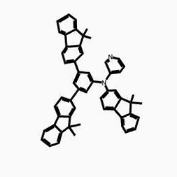 CC1(C)c2ccccc2-c2ccc(-c3cc(-c4ccc5c(c4)C(C)(C)c4ccccc4-5)cc(N(c4cccnc4)c4ccc5c(c4)C(C)(C)c4ccccc4-5)c3)cc21